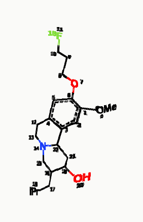 COc1cc2c(cc1OCCC[18F])CCN1CC(CC(C)C)C(O)CC21